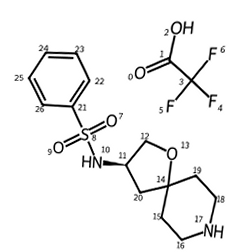 O=C(O)C(F)(F)F.O=S(=O)(N[C@H]1COC2(CCNCC2)C1)c1ccccc1